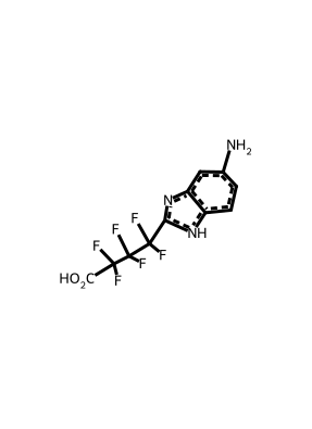 Nc1ccc2[nH]c(C(F)(F)C(F)(F)C(F)(F)C(=O)O)nc2c1